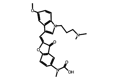 COc1ccc2c(c1)c(C=C1Oc3ccc(N(C)C(=O)O)cc3C1=O)cn2CCCN(C)C